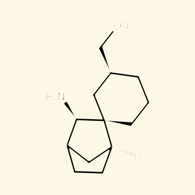 N[C@@H]1C2CC[C@@H](C2)[C@]12CCC[C@H](CO)C2